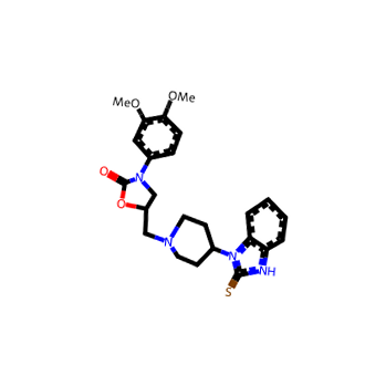 COc1ccc(N2CC(CN3CCC(n4c(=S)[nH]c5ccccc54)CC3)OC2=O)cc1OC